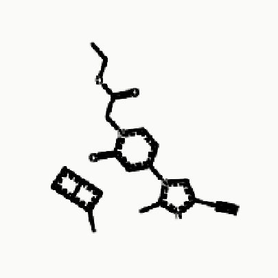 C#Cc1cn(-c2ccn(CC(=O)OCC)c(=O)c2)c(C)n1.Cc1cc2ccc1-2